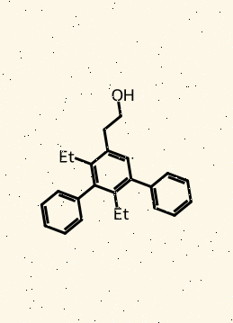 CCc1c(CCO)[c]c(-c2ccccc2)c(CC)c1-c1ccccc1